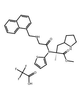 COC(=O)[C@](C)(CC1CCCN1)N(C(=O)CNCc1cccc2ccccc12)c1cccs1.O=C(O)C(F)(F)F